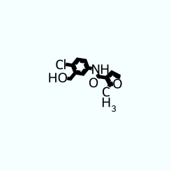 Cc1occc1C(=O)Nc1ccc(Cl)c(CO)c1